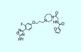 CCCc1nc(-c2ccc(OCCCN3CCCN(C(=O)[C@H](C)NC(=O)c4ccco4)CC3)cc2F)no1